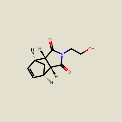 O=C1[C@@H]2[C@H](C(=O)N1CCO)[C@H]1C=C[C@@H]2C1